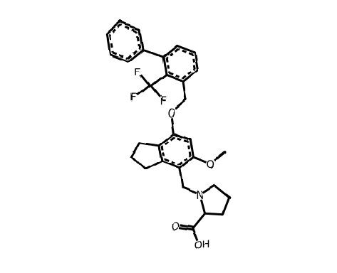 COc1cc(OCc2cccc(-c3ccccc3)c2C(F)(F)F)c2c(c1CN1CCCC1C(=O)O)CCC2